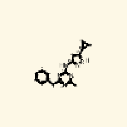 Cc1nc(Cc2ccccc2)nc(Nc2cc(C3CC3)[nH]n2)n1